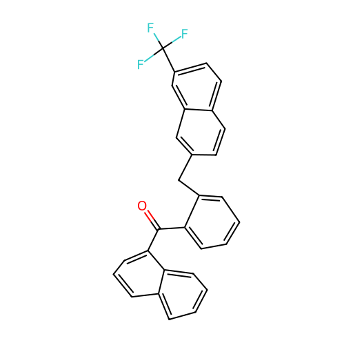 O=C(c1ccccc1Cc1ccc2ccc(C(F)(F)F)cc2c1)c1cccc2ccccc12